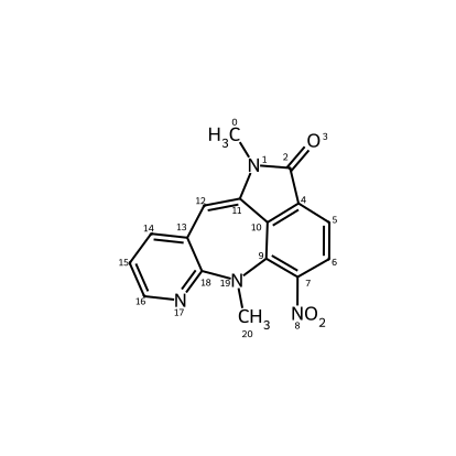 CN1C(=O)c2ccc([N+](=O)[O-])c3c2C1=Cc1cccnc1N3C